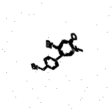 Cn1cc(-c2ccc(CBr)cc2)c(Br)cc1=O